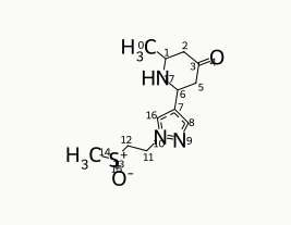 CC1CC(=O)CC(c2cnn(CC[S+](C)[O-])c2)N1